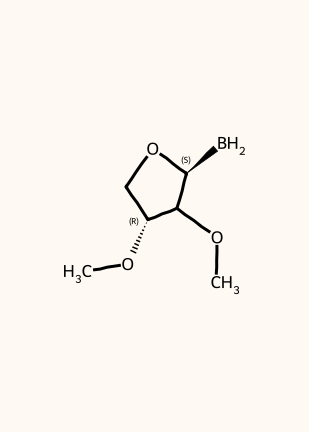 B[C@@H]1OC[C@@H](OC)C1OC